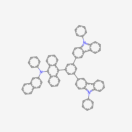 c1ccc(N(c2ccc3ccccc3c2)c2c3ccccc3c(-c3cc(-c4ccc5c(c4)c4ccccc4n5-c4ccccc4)cc(-c4ccc5c(c4)c4ccccc4n5-c4ccccc4)c3)c3ccccc23)cc1